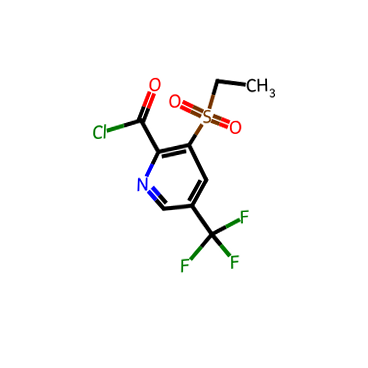 CCS(=O)(=O)c1cc(C(F)(F)F)cnc1C(=O)Cl